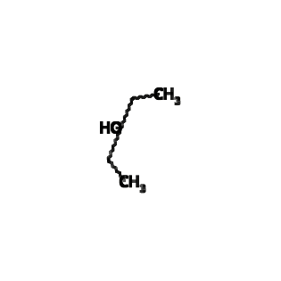 CCCCCCCC/C=C\CCCCCCCCCC(O)CCCCCCCCC/C=C\CCCCCCCC